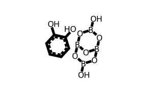 OB1OB2OB(O)OB(O1)O2.Oc1ccccc1O